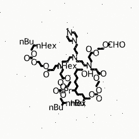 CCCCCCC(CO)CCCCC(CCC)CCC(CCCC)COC(=O)OCCOC(=O)CCN(CCCN(CCCN(CCC(=O)OCCOC(=O)OCC(CCCC)CCCCCC)CCC(=O)OCCOC(=O)OCC(CCCC)CCCCCC)CCCN1CCN(C)CC1)CCC(=O)OCCOC=O